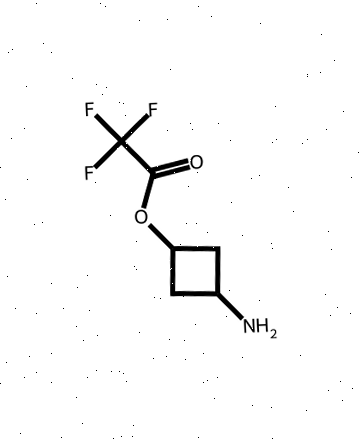 NC1CC(OC(=O)C(F)(F)F)C1